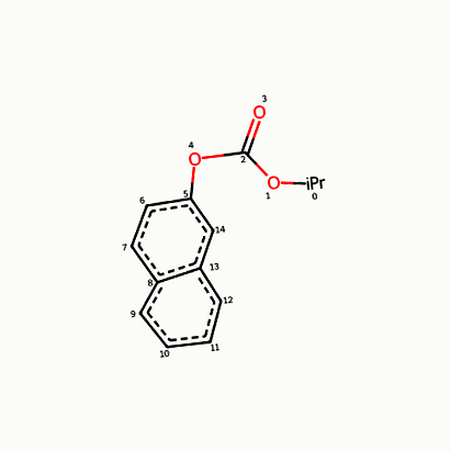 CC(C)OC(=O)Oc1ccc2ccccc2c1